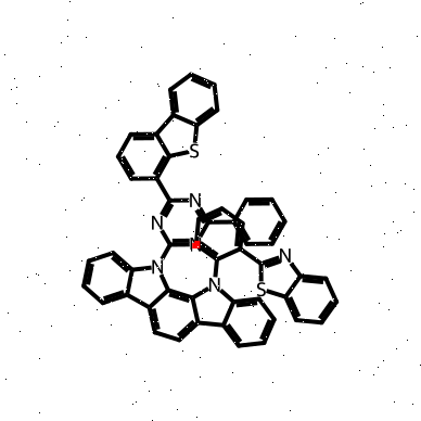 c1ccc(-c2nc(-c3cccc4c3sc3ccccc34)nc(-n3c4ccccc4c4ccc5c6ccccc6n(-c6ccccc6-c6nc7ccccc7s6)c5c43)n2)cc1